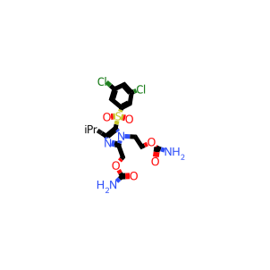 CC(C)c1nc(COC(N)=O)n(CCOC(N)=O)c1S(=O)(=O)c1cc(Cl)cc(Cl)c1